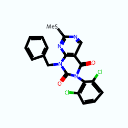 CSc1ncc2c(=O)n(-c3c(Cl)cccc3Cl)c(=O)n(Cc3ccccc3)c2n1